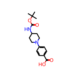 CC(C)(C)OC(=O)NC1CCN(c2ccc(C(=O)O)cc2)CC1